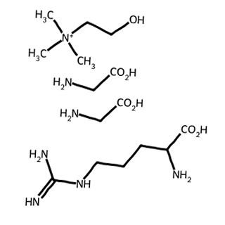 C[N+](C)(C)CCO.N=C(N)NCCCC(N)C(=O)O.NCC(=O)O.NCC(=O)O